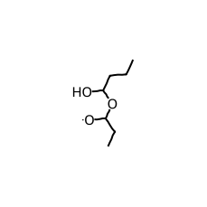 CCCC(O)OC([O])CC